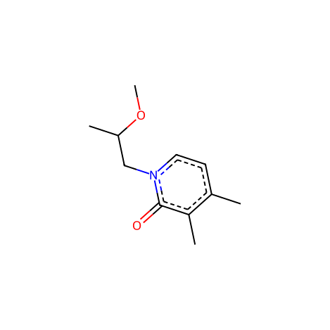 COC(C)Cn1ccc(C)c(C)c1=O